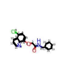 O=C(COc1ccc(Cl)c2cccnc12)NCc1ccccc1